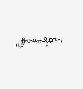 CCc1ccc(NC(=O)CCOCCOCCOCc2cn(C)nn2)cc1